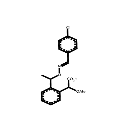 COC(C(=O)O)c1ccccc1C(C)ON=Cc1ccc(Cl)cc1